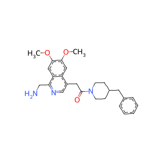 COc1cc2c(CC(=O)N3CCC(Cc4ccccc4)CC3)cnc(CN)c2cc1OC